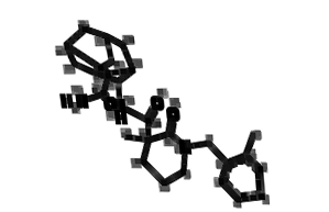 Cc1ccccc1CN1CCCC(C)(C(=O)NC2C3CC4CC(C3)C(C(N)=O)C2C4)C1=O